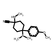 CNC1(C#N)CCC(c2ccc(OC)cc2)(N(C)C)CC1